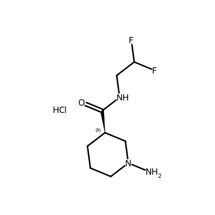 Cl.NN1CCC[C@@H](C(=O)NCC(F)F)C1